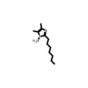 CCCCCCCc1nc(C)c(C)n1N